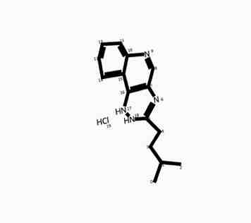 CC(C)CCC1=Nc2cnc3ccccc3c2NN1.Cl